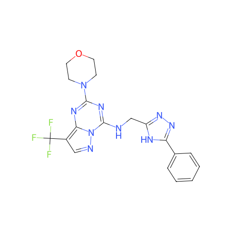 FC(F)(F)c1cnn2c(NCc3nnc(-c4ccccc4)[nH]3)nc(N3CCOCC3)nc12